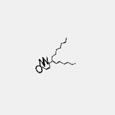 CCCCCCCC(CCCCCC)c1ccc(=O)n(C)n1